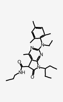 CCCNC(=O)C1C(=O)N(C(CC)CC)c2nc(N(CC)c3c(C)cc(C)cc3C)nc(C)c21